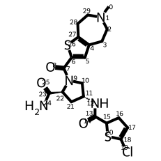 CN1CCc2cc(C(=O)N3C[C@H](NC(=O)C4CC=C(Cl)S4)C[C@H]3C(N)=O)sc2CC1